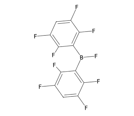 FB(c1c(F)c(F)cc(F)c1F)c1c(F)c(F)cc(F)c1F